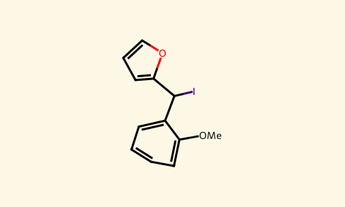 COc1ccccc1C(I)c1ccco1